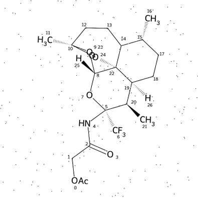 CC(=O)OCC(=O)N[C@@]1(C(F)(F)F)O[C@@H]2O[C@]3(C)CCC4[C@H](C)CC[C@@H]([C@H]1C)[C@]42OO3